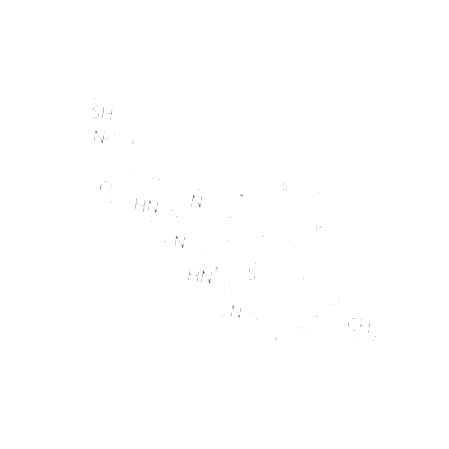 CCc1ccc2nc(Nc3cc(Cc4ccccc4)nc(NCC4CN(S)CCO4)n3)sc2c1